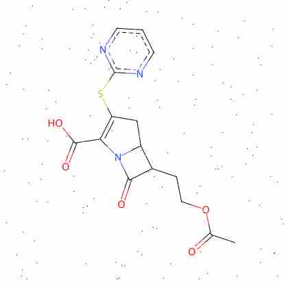 CC(=O)OCCC1C(=O)N2C(C(=O)O)=C(Sc3ncccn3)CC12